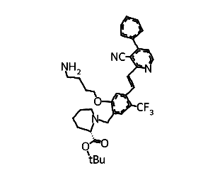 CC(C)(C)OC(=O)[C@@H]1CCCCN1Cc1cc(C(F)(F)F)c(/C=C/c2nccc(-c3ccccc3)c2C#N)cc1OCCCCN